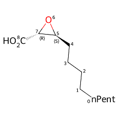 CCCCCCCCC[C@@H]1O[C@H]1C(=O)O